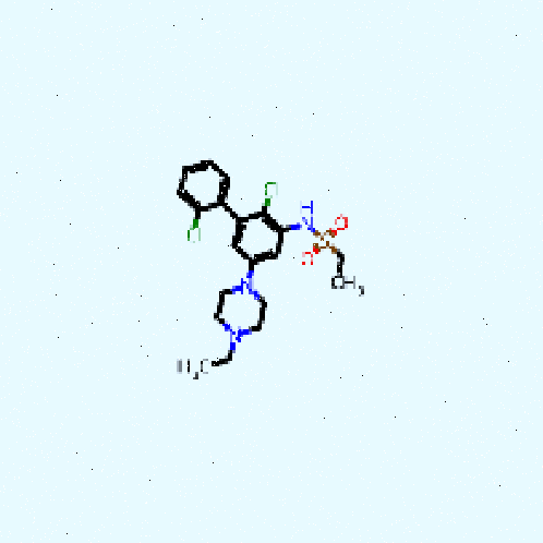 CCN1CCN(c2cc(NS(=O)(=O)CC)c(Cl)c(-c3ccccc3Cl)c2)CC1